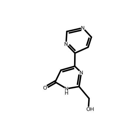 O=c1cc(-c2ccncn2)nc(CO)[nH]1